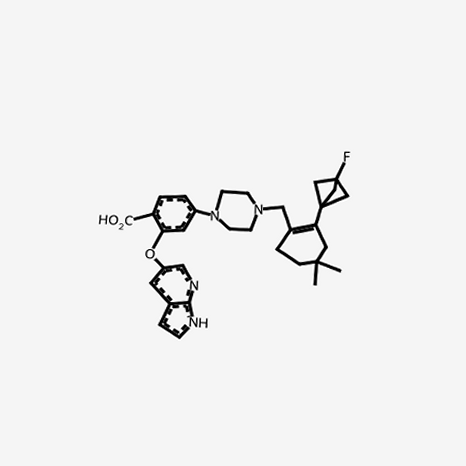 CC1(C)CCC(CN2CCN(c3ccc(C(=O)O)c(Oc4cnc5[nH]ccc5c4)c3)CC2)=C(C23CC(F)(C2)C3)C1